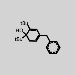 CC(C)(C)C1=CC(Cc2ccccc2)=CCC1(O)C(C)(C)C